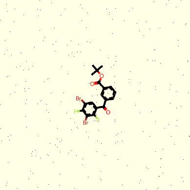 CC(C)(C)OC(=O)c1cccc(C(=O)c2cc(Br)c(F)c(Br)c2F)c1